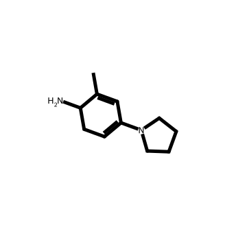 CC1=CC(N2CCCC2)=CCC1N